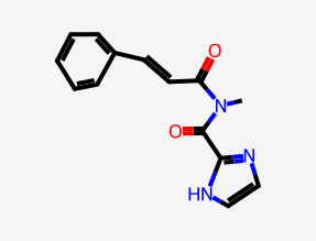 CN(C(=O)/C=C/c1ccccc1)C(=O)c1ncc[nH]1